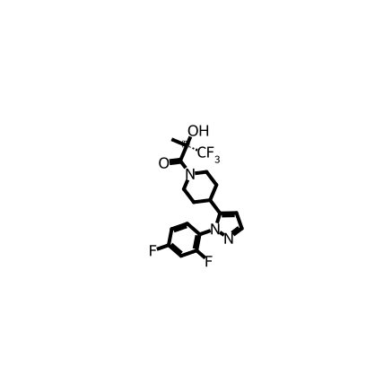 C[C@@](O)(C(=O)N1CCC(c2ccnn2-c2ccc(F)cc2F)CC1)C(F)(F)F